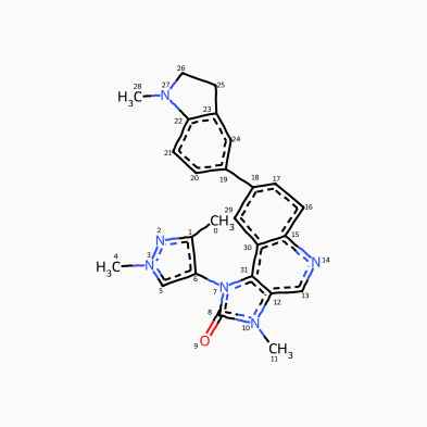 Cc1nn(C)cc1-n1c(=O)n(C)c2cnc3ccc(-c4ccc5c(c4)CCN5C)cc3c21